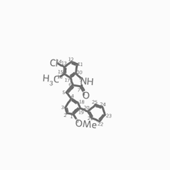 COc1ccc(C=C2C(=O)Nc3ccc(Cl)c(C)c32)cc1-c1ccccc1